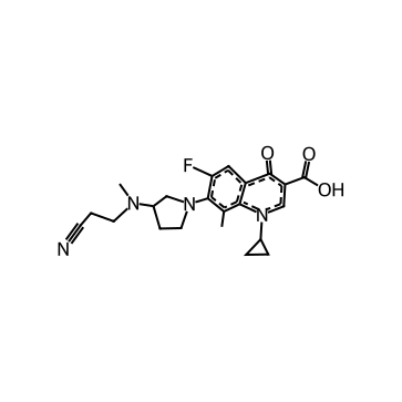 Cc1c(N2CCC(N(C)CCC#N)C2)c(F)cc2c(=O)c(C(=O)O)cn(C3CC3)c12